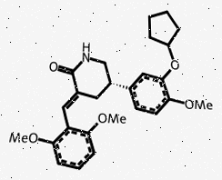 COc1ccc([C@H]2CNC(=O)C(=Cc3c(OC)cccc3OC)C2)cc1OC1CCCC1